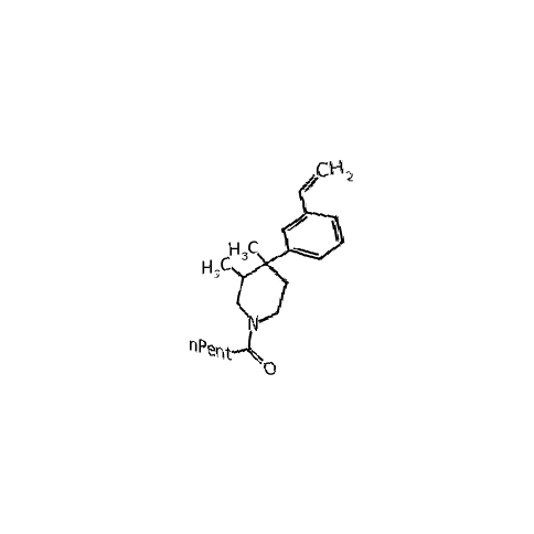 C=Cc1cccc(C2(C)CCN(C(=O)CCCCC)CC2C)c1